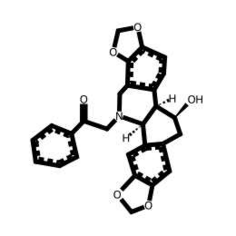 O=C(CN1Cc2c(ccc3c2OCO3)[C@@H]2[C@H]1c1cc3c(cc1C[C@@H]2O)OCO3)c1ccccc1